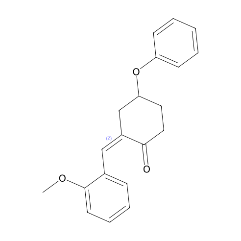 COc1ccccc1/C=C1/CC(Oc2ccccc2)CCC1=O